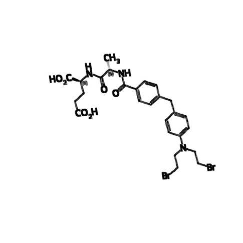 C[C@H](NC(=O)c1ccc(Cc2ccc(N(CCBr)CCBr)cc2)cc1)C(=O)N[C@@H](CCC(=O)O)C(=O)O